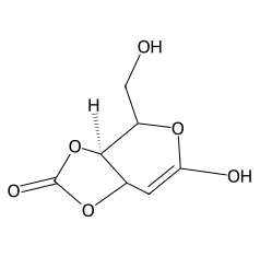 O=C1OC2C=C(O)OC(CO)[C@@H]2O1